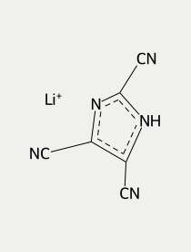 N#Cc1nc(C#N)c(C#N)[nH]1.[Li+]